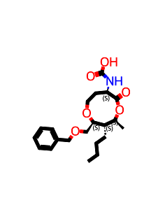 CCCC[C@H]1[C@H](C)OC(=O)[C@@H](NC(=O)O)CCO[C@@H]1COCc1ccccc1